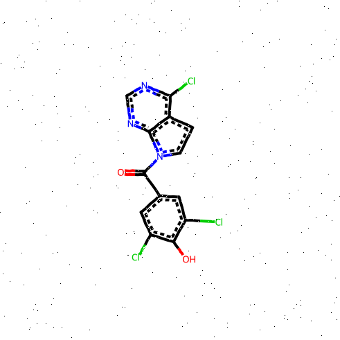 O=C(c1cc(Cl)c(O)c(Cl)c1)n1ccc2c(Cl)ncnc21